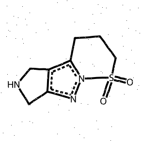 O=S1(=O)CCCc2c3c(nn21)CNC3